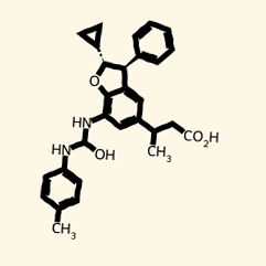 Cc1ccc(NC(O)Nc2cc(C(C)CC(=O)O)cc3c2O[C@H](C2CC2)[C@H]3c2ccccc2)cc1